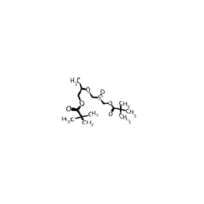 CC(COC(=O)C(C)(C)C)OC[S+]([O-])COC(=O)C(C)(C)C